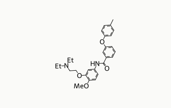 CCN(CC)CCOc1cc(NC(=O)c2cccc(Oc3ccc(C)cc3)c2)ccc1OC